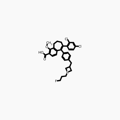 COc1c(C(=O)O)ccc2c1CCCC(c1ccc(Cl)cc1Cl)=C2c1ccc(CC2CN(CCCF)C2)cc1